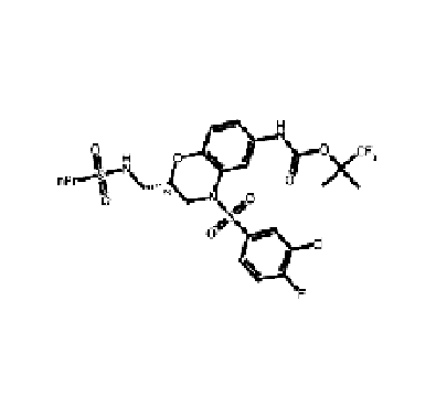 CCCS(=O)(=O)NC[C@H]1CN(S(=O)(=O)c2ccc(F)c(Cl)c2)c2cc(NC(=O)OC(C)(C)C(F)(F)F)ccc2O1